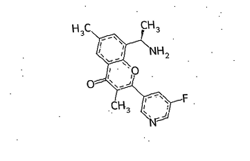 Cc1cc([C@@H](C)N)c2oc(-c3cncc(F)c3)c(C)c(=O)c2c1